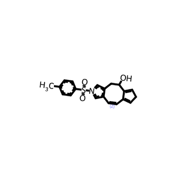 Cc1ccc(S(=O)(=O)n2cc3c(c2)CC(O)C2=CCC=C2/C=C\3)cc1